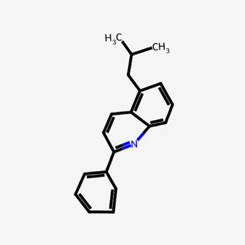 CC(C)Cc1cccc2nc(-c3ccccc3)ccc12